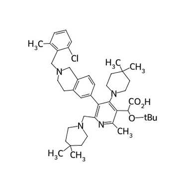 Cc1cccc(Cl)c1CN1CCc2cc(-c3c(CN4CCC(C)(C)CC4)nc(C)c(C(OC(C)(C)C)C(=O)O)c3N3CCC(C)(C)CC3)ccc2C1